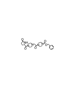 O=C1CCC(C(=O)N2CCN(CC(=O)N3CCN(C(=O)OCc4ccccc4)CC3)CC2)N1